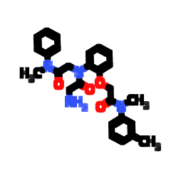 Cc1cccc(N(C)C(=O)COc2ccccc2N(CC(=O)N(C)c2ccccc2)C(=O)CN)c1